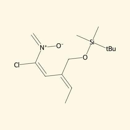 C=[N+]([O-])/C(Cl)=C\C(=C/C)CO[Si](C)(C)C(C)(C)C